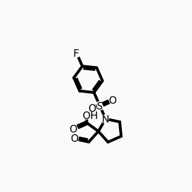 O=CC1(C(=O)O)CCCN1S(=O)(=O)c1ccc(F)cc1